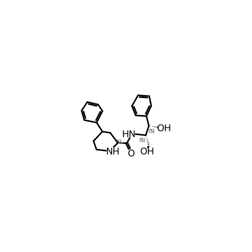 O=C(N[C@@H](CO)[C@@H](O)c1ccccc1)[C@@H]1CC(c2ccccc2)CCN1